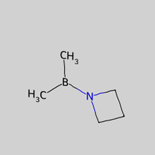 CB(C)N1CCC1